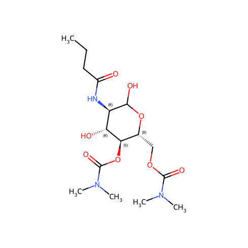 CCCC(=O)N[C@H]1C(O)O[C@H](COC(=O)N(C)C)[C@@H](OC(=O)N(C)C)[C@@H]1O